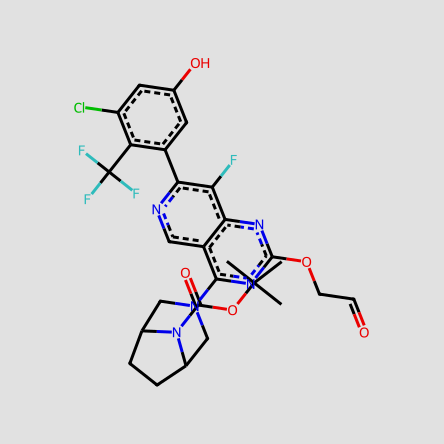 CC(C)(C)OC(=O)N1C2CCC1CN(c1nc(OCC=O)nc3c(F)c(-c4cc(O)cc(Cl)c4C(F)(F)F)ncc13)C2